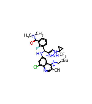 CN(C)C(=O)c1cccc([C@H](Nc2cc(Cl)c3ncc(C#N)c(NCC(C)(C)C)c3c2)C2=CN(C3(C(F)(F)F)CC3)NN2)c1F